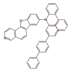 c1ccc(-c2ccc(-c3cccc(N(c4ccc5oc6c7ccncc7ccc6c5c4)c4ccccc4-c4ccccc4)c3)cc2)cc1